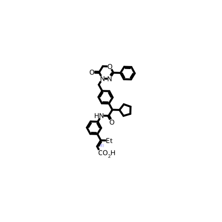 CC/C(=C\C(=O)O)c1cccc(NC(=O)C(c2ccc(CN3N=C(c4ccccc4)OCC3=O)cc2)C2CCCC2)c1